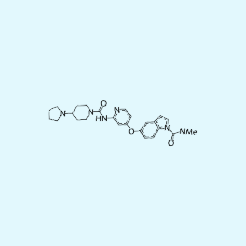 CNC(=O)n1ccc2cc(Oc3ccnc(NC(=O)N4CCC(N5CCCC5)CC4)c3)ccc21